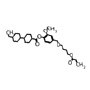 C=CC(=O)OCCCCOCc1ccc(OC(=O)C2CCC(C3CCC(CC)CC3)CC2)c(OC)c1